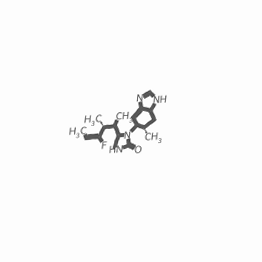 C/C=C(/F)[C@H](C)C(C)C1CNC(=O)N1C1C=C2N=CNC2C[C@@H]1C